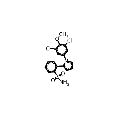 COc1c(Cl)cc(-n2cccc2-c2ccccc2S(N)(=O)=O)cc1Cl